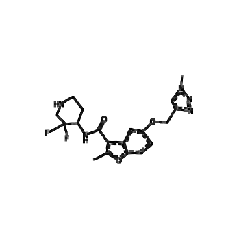 Cc1oc2ccc(OCc3cn(C)nn3)cc2c1C(=O)NC1CCNCC1(F)F